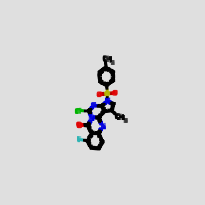 Cc1ccc(S(=O)(=O)n2cc(C)c3c2nc(Cl)n2c(=O)c4c(F)cccc4nc32)cc1